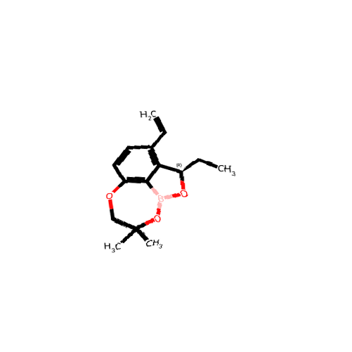 C=Cc1ccc2c3c1[C@@H](CC)OB3OC(C)(C)CO2